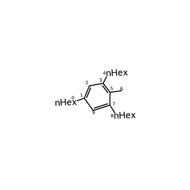 CCCCCCc1cc(CCCCCC)c(C)c(CCCCCC)c1